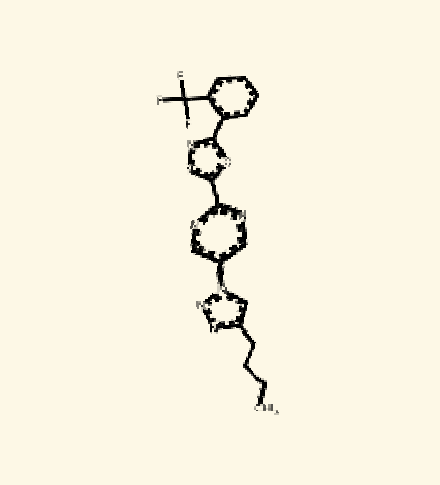 CCCCc1cn(-c2cnc(-c3nnc(-c4ccccc4C(F)(F)F)o3)nc2)nn1